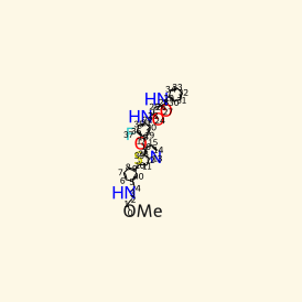 COCCNCc1cccc(C2Cc3nccc(Oc4ccc(NC(=O)CC(=O)Nc5ccccc5)cc4F)c3S2)c1